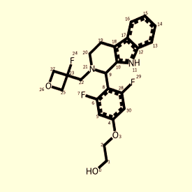 OCCOc1cc(F)c(C2c3[nH]c4ccccc4c3CCN2CC2(F)COC2)c(F)c1